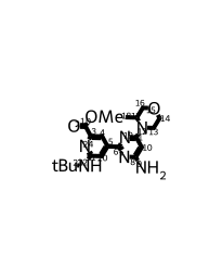 COC(=O)c1cc(-c2nc(N)cc(N3CCOCC3C)n2)cc(NC(C)(C)C)n1